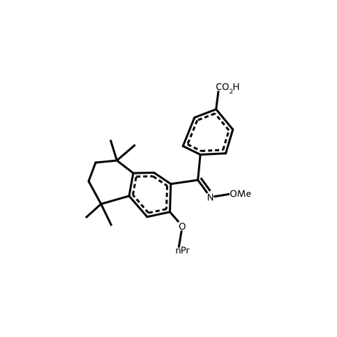 CCCOc1cc2c(cc1C(=NOC)c1ccc(C(=O)O)cc1)C(C)(C)CCC2(C)C